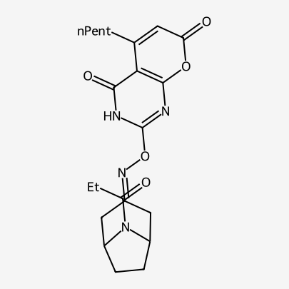 CCCCCc1cc(=O)oc2nc(ON=C3CC4CCC(C3)N4C(=O)CC)[nH]c(=O)c12